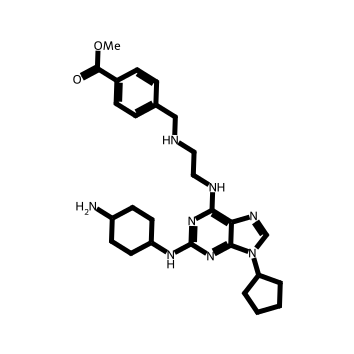 COC(=O)c1ccc(CNCCNc2nc(NC3CCC(N)CC3)nc3c2ncn3C2CCCC2)cc1